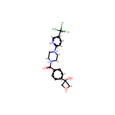 O=C(c1ccc(C2(O)COC2)cc1)N1CCN(c2ccc(C(F)(F)F)cn2)CC1